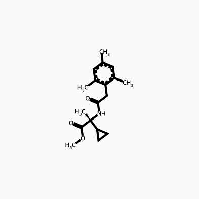 COC(=O)[C@](C)(NC(=O)Cc1c(C)cc(C)cc1C)C1CC1